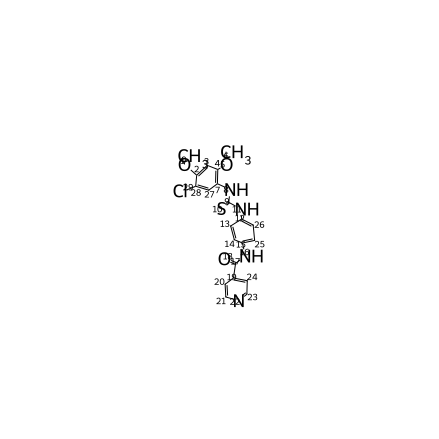 COc1cc(OC)c(NC(=S)Nc2ccc(NC(=O)c3ccncc3)cc2)cc1Cl